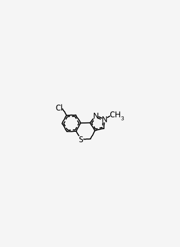 Cn1cc2c(n1)-c1cc(Cl)ccc1SC2